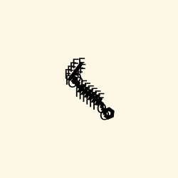 O=S(=O)(OCC(F)(F)C(F)(F)C(F)(F)C(F)(F)C(F)(F)C(F)(F)COC1CCCCO1)C(F)(F)C(F)(F)C(F)(F)C(F)(F)F